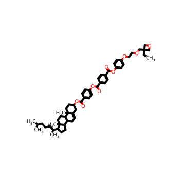 CCC1(COCCOc2ccc(OC(=O)c3ccc(C(=O)Oc4ccc(C(=O)OC5CCC6(C)C(=CCC7C6CCC6(C)C(C(C)CCCC(C)C)CCC76)C5)cc4)cc3)cc2)COC1